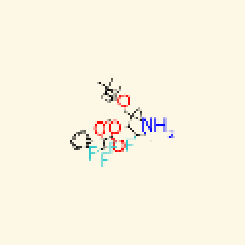 CO[C@@](C(=O)O[C@@H]([C@H](F)[C@@H](C)N)C1(CO[Si](C)(C)C(C)(C)C)CC1)(c1ccccc1)C(F)(F)F